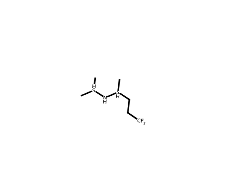 C[SH](C)N[SH](C)CCC(F)(F)F